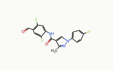 Cc1nn(-c2ccc(F)cc2)cc1C(=O)Nc1cc(F)c(C=O)cc1F